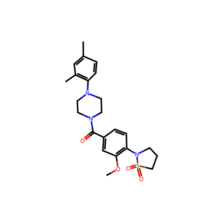 COc1cc(C(=O)N2CCN(c3ccc(C)cc3C)CC2)ccc1N1CCCS1(=O)=O